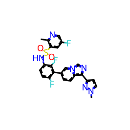 Cc1ncc(F)cc1S(=O)(=O)Nc1ccc(F)c(-c2ccc3c(-c4ccn(C)n4)ncn3c2)c1F